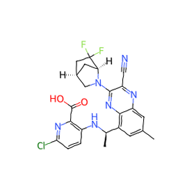 Cc1cc([C@@H](C)Nc2ccc(Cl)nc2C(=O)O)c2nc(N3C[C@@H]4C[C@H]3C(F)(F)C4)c(C#N)nc2c1